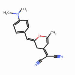 CC1=CC(=C(C#N)C#N)CC(=Cc2ccc(N(C)C)cc2)O1